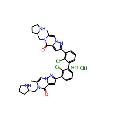 Cc1cn2nc(-c3cccc(-c4cccc(-c5cc6c(=O)n(C[C@H]7CCCN7)c(C)cn6n5)c4Cl)c3Cl)cc2c(=O)n1C[C@H]1CCCN1.Cl.Cl